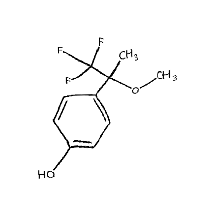 COC(C)(c1ccc(O)cc1)C(F)(F)F